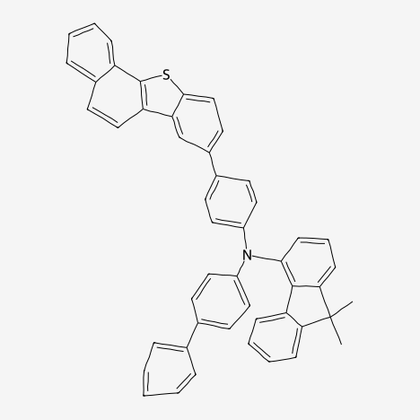 CC1(C)c2ccccc2-c2c(N(c3ccc(-c4ccccc4)cc3)c3ccc(-c4ccc5sc6c7ccccc7ccc6c5c4)cc3)cccc21